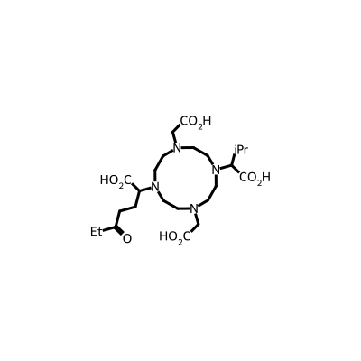 CCC(=O)CCC(C(=O)O)N1CCN(CC(=O)O)CCN(C(C(=O)O)C(C)C)CCN(CC(=O)O)CC1